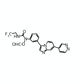 O=CON(C(=O)NCC(F)(F)F)c1cccc(-c2cnc3cc(-c4ccnnc4)ccn23)c1